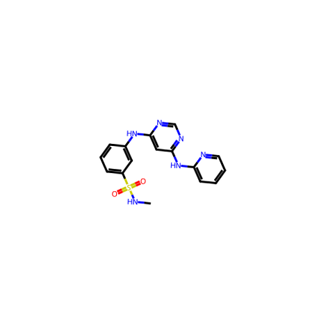 CNS(=O)(=O)c1cccc(Nc2cc(Nc3ccccn3)ncn2)c1